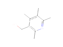 Cc1nc(C)c(CO)c(C)c1C